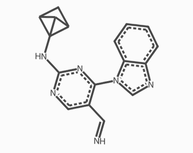 N=Cc1cnc(NC2C3CC2C3)nc1-n1cnc2ccccc21